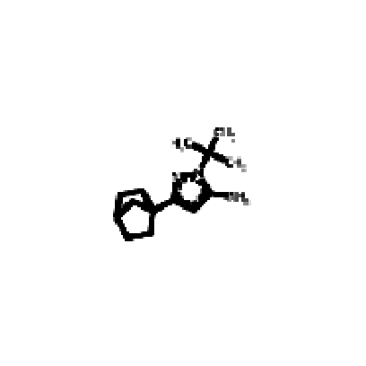 CC(C)(C)n1nc(C23CCC(CC2)C3)cc1N